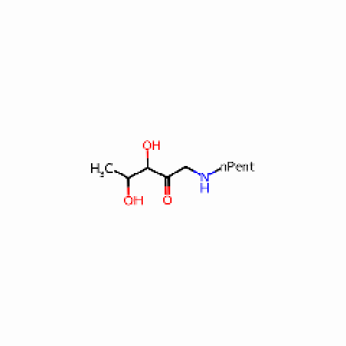 CCCCCNCC(=O)C(O)C(C)O